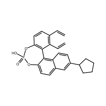 C=Cc1ccc2c(c1C=C)-c1c(ccc3cc(C4CCCC4)ccc13)OP(=O)(O)O2